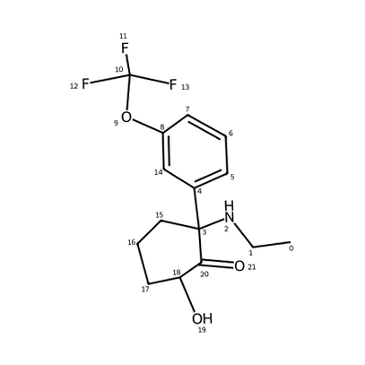 CCNC1(c2cccc(OC(F)(F)F)c2)CCCC(O)C1=O